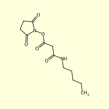 CCCCCNC(=O)CC(=O)ON1C(=O)CCC1=O